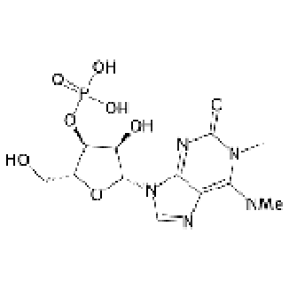 CNc1c2ncn([C@@H]3O[C@H](CO)[C@@H](OP(=O)(O)O)[C@H]3O)c2nc(=O)n1C